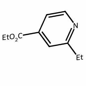 CCOC(=O)c1ccnc(CC)c1